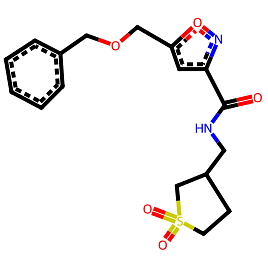 O=C(NCC1CCS(=O)(=O)C1)c1cc(COCc2ccccc2)on1